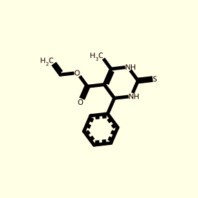 C=COC(=O)C1=C(C)NC(=S)NC1c1ccccc1